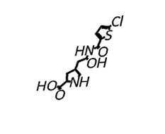 O=C(NC(O)CC1CNC(C(=O)O)C1)c1ccc(Cl)s1